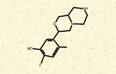 Cc1cc(F)c(C#N)cc1C1CN2CCNCC2CO1